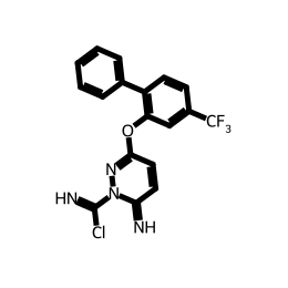 N=C(Cl)n1nc(Oc2cc(C(F)(F)F)ccc2-c2ccccc2)ccc1=N